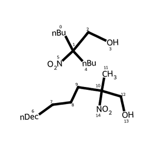 CCCCC(CO)(CCCC)[N+](=O)[O-].CCCCCCCCCCCCCC(C)(CO)[N+](=O)[O-]